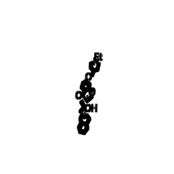 CCN1CCC(COc2ccc3c(c2)OCCN(CC(O)CN2CCc4ccccc4C2)C3=O)CC1